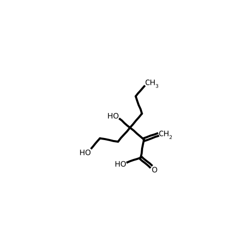 C=C(C(=O)O)C(O)(CCC)CCO